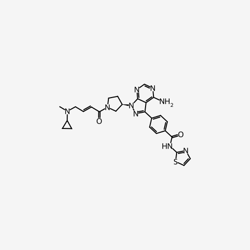 CN(C/C=C/C(=O)N1CC[C@@H](n2nc(-c3ccc(C(=O)Nc4nccs4)cc3)c3c(N)ncnc32)C1)C1CC1